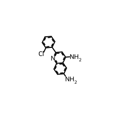 Nc1ccc2nc(-c3ccccc3Cl)cc(N)c2c1